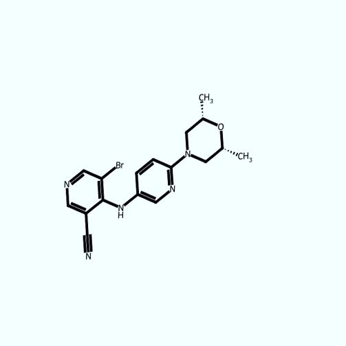 C[C@@H]1CN(c2ccc(Nc3c(Br)cncc3C#N)cn2)C[C@H](C)O1